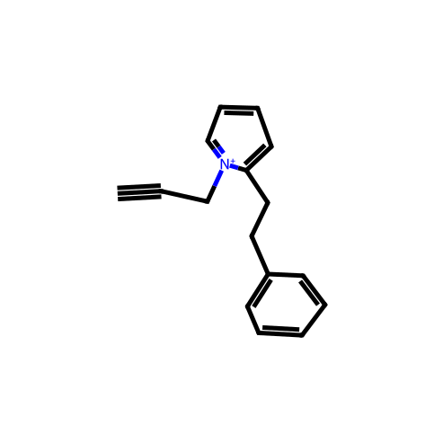 C#CC[n+]1ccccc1CCc1ccccc1